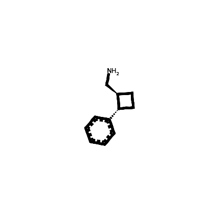 NC[C@H]1CC[C@@H]1c1ccccc1